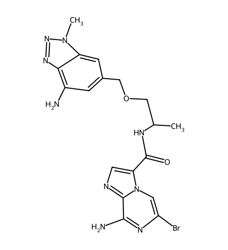 CC(COCc1cc(N)c2nnn(C)c2c1)NC(=O)c1cnc2c(N)nc(Br)cn12